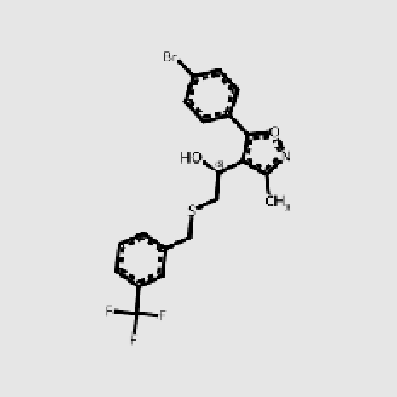 Cc1noc(-c2ccc(Br)cc2)c1[C@H](O)CSCc1cccc(C(F)(F)F)c1